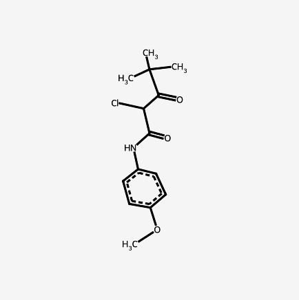 COc1ccc(NC(=O)C(Cl)C(=O)C(C)(C)C)cc1